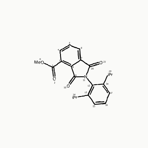 COC(=O)c1cccc2c1C(=O)N(c1c(C(C)C)cccc1C(C)C)C2=O